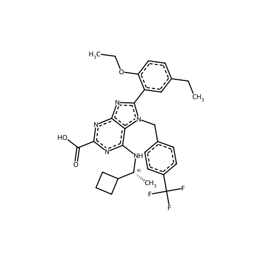 CCOc1ccc(CC)cc1-c1nc2nc(C(=O)O)nc(N[C@H](C)C3CCC3)c2n1Cc1ccc(C(F)(F)F)cc1